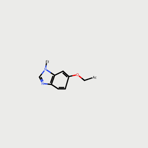 CCn1cnc2ccc(OCC(C)=O)cc21